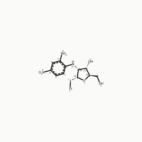 CCS[C@H]1O[C@H](CO)[C@@H](O)[C@H]1Nc1ccc([N+](=O)[O-])cc1[N+](=O)[O-]